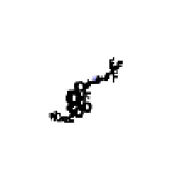 CCCCCCCCCCc1cc2ccc(OCC/C=C/CCC(F)=C(F)F)c(F)c2c(=O)o1